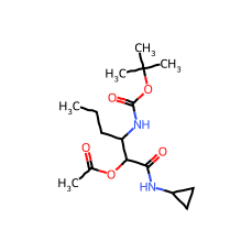 CCCC(NC(=O)OC(C)(C)C)C(OC(C)=O)C(=O)NC1CC1